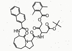 Cc1cccc(C)c1C(=O)OCC(=O)C(CC(=O)OC(C)(C)C)NC(=O)C1CCC2C/C=C\CC(NC(=O)c3ccc4ccccc4c3)C(=O)N21